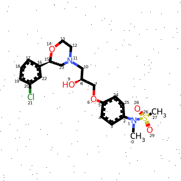 CN(c1ccc(OC[C@@H](O)CN2CCO[C@H](c3cccc(Cl)c3)C2)cc1)S(C)(=O)=O